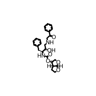 O=C(N[C@@H](Cc1ccccc1)[C@H](O)CNCC(=O)c1ccccc1)O[C@H]1CO[C@H]2OCC[C@H]21